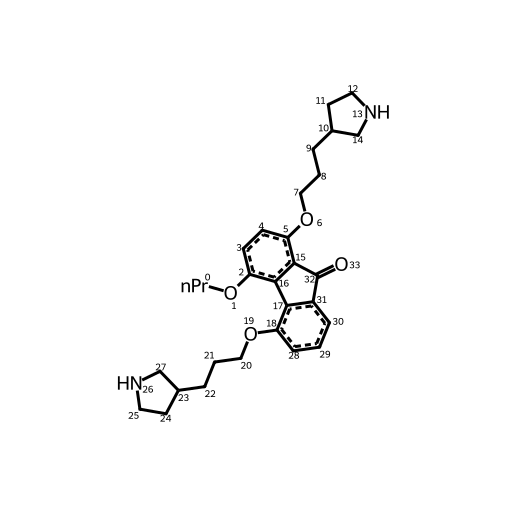 CCCOc1ccc(OCCCC2CCNC2)c2c1-c1c(OCCCC3CCNC3)cccc1C2=O